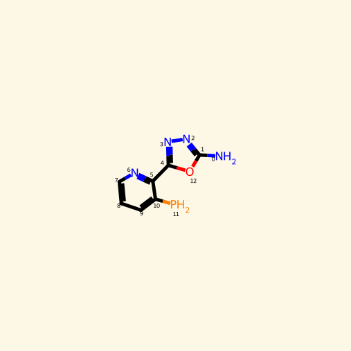 Nc1nnc(-c2ncccc2P)o1